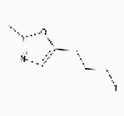 Cc1ncc(CCCI)o1